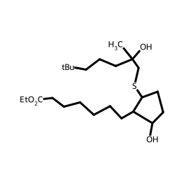 CCOC(=O)CCCCCCC1C(O)CCC1SCC(C)(O)CCCC(C)(C)C